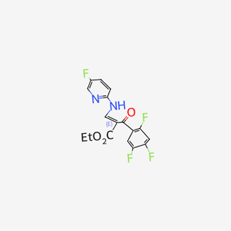 CCOC(=O)/C(=C/Nc1ccc(F)cn1)C(=O)c1cc(F)c(F)cc1F